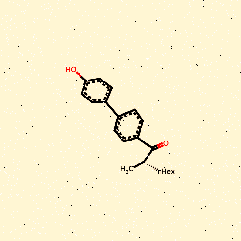 CCCCCC[C@H](C)C(=O)c1ccc(-c2ccc(O)cc2)cc1